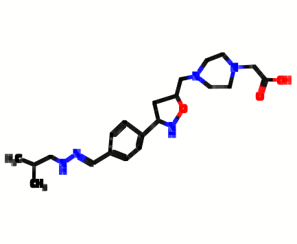 CC(C)CNN=Cc1ccc(C2CC(CN3CCN(CC(=O)O)CC3)ON2)cc1